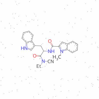 CCN(C#N)C(=O)C(Cc1c[nH]c2ccccc12)NC(=O)c1cc2ccccc2n1C